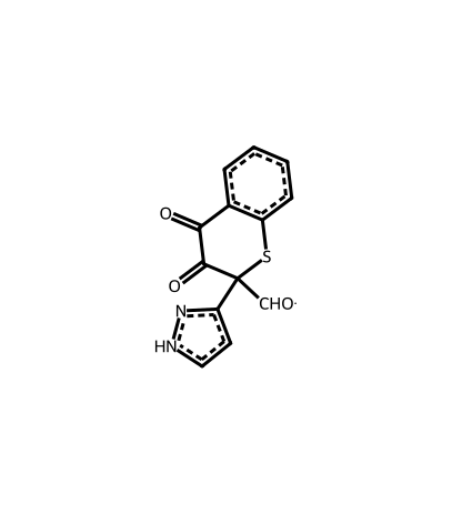 O=[C]C1(c2cc[nH]n2)Sc2ccccc2C(=O)C1=O